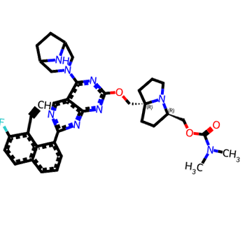 C#Cc1c(F)ccc2cccc(-c3ncc4c(N5CC6CCC(C5)N6)nc(OC[C@]56CCCN5[C@@H](COC(=O)N(C)C)CC6)nc4n3)c12